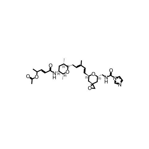 CC(=O)OC(C)C=CC(=O)N[C@@H]1C[C@H](C)[C@H](CC=C(C)C=C[C@@H]2C[C@]3(CO3)C[C@@H](CNC(=O)n3ccnc3)O2)O[C@@H]1C